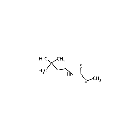 CSC(=S)NCCC(C)(C)C